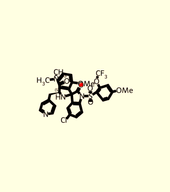 COc1ccc(S(=O)(=O)N2C(=O)C(N[C@@H](Cc3ccncc3)C(=O)N(C)C)(c3ccccc3OC)c3cc(Cl)ccc32)c(OC(F)(F)F)c1